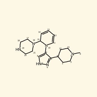 CN1CCC(c2n[nH]cc2N2C=[C]C=CC2N2CCNCC2)CC1